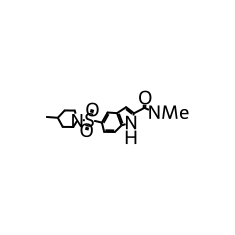 CNC(=O)c1cc2cc(S(=O)(=O)N3CCC(C)CC3)ccc2[nH]1